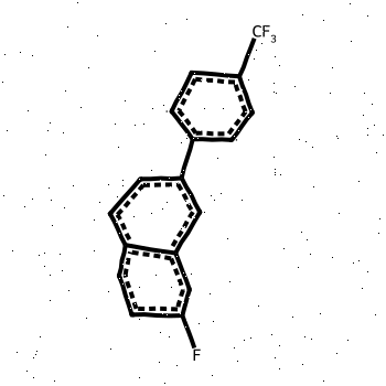 Fc1ccc2ccc(-c3[c]cc(C(F)(F)F)c[c]3)cc2c1